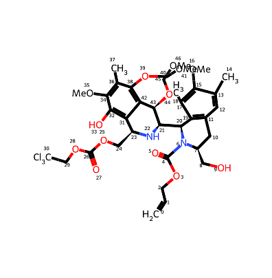 C=CCOC(=O)N1[C@H](CO)Cc2cc(C)c(OC)c(C)c2[C@@H]1[C@H]1N[C@@H](COC(=O)OCC(Cl)(Cl)Cl)c2c(O)c(OC)c(C)c(OCOC)c2[C@H]1OCOC